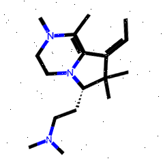 C/C=C1\C2=C(C)N(C)CCN2[C@@H](CCN(C)C)C1(C)C